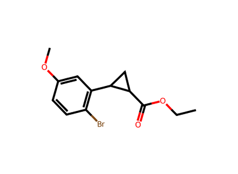 CCOC(=O)C1CC1c1cc(OC)ccc1Br